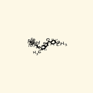 COc1ccc(C(=O)c2cc3cc(C)n(CCCNS(=O)(=O)C(F)(F)F)c3s2)cc1